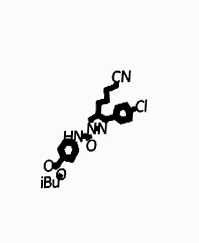 CCC(C)OC(=O)c1ccc(NC(=O)N2CC(CCCCC#N)C(c3ccc(Cl)cc3)=N2)cc1